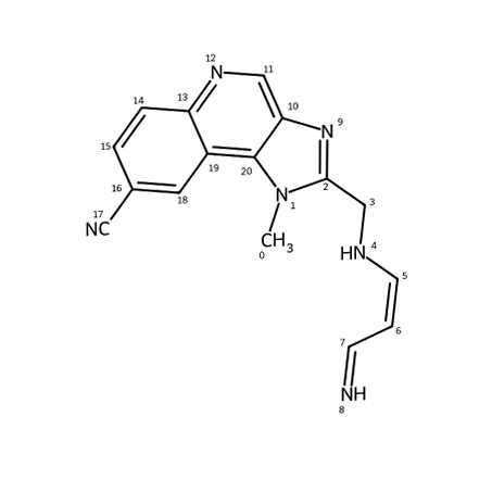 Cn1c(CN/C=C\C=N)nc2cnc3ccc(C#N)cc3c21